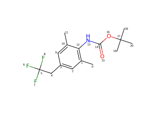 Cc1cc(CC(F)(F)F)cc(C)c1NC(=O)OC(C)(C)C